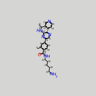 Cc1cc(-c2cncc(NC(C)c3cccnc3)n2)ccc1C(=O)NCCCCCN